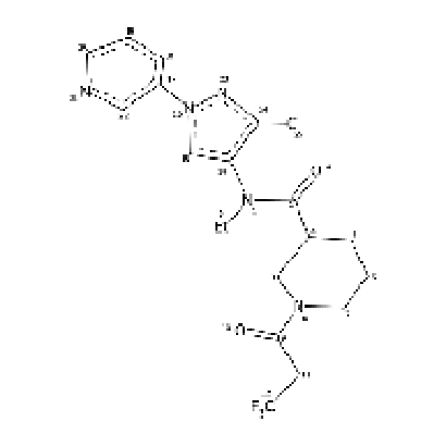 CCN(C(=O)C1CCCN(C(=O)CC(F)(F)F)C1)c1cn(-c2cccnc2)nc1Cl